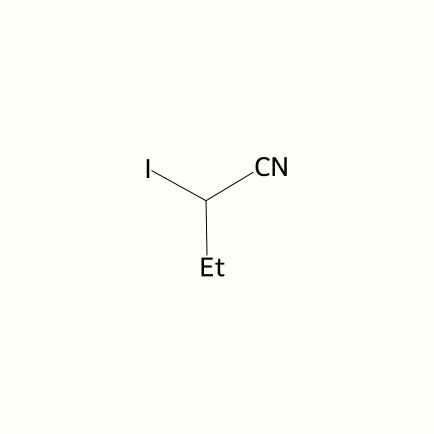 CCC(I)C#N